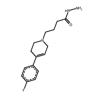 NNC(=O)CCCN1CC=C(c2ccc(F)cc2)CC1